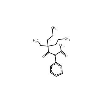 CCCC(CC)(CCC)C(=O)N(C(C)=O)c1ccccc1